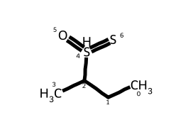 CCC(C)[SH](=O)=S